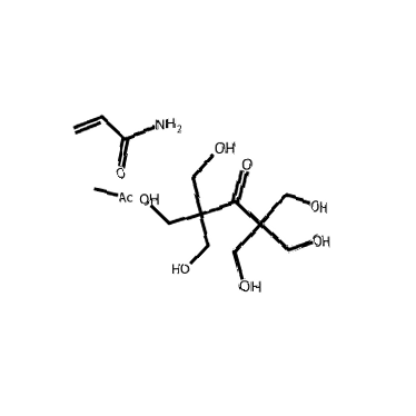 C=CC(N)=O.CC(C)=O.O=C(C(CO)(CO)CO)C(CO)(CO)CO